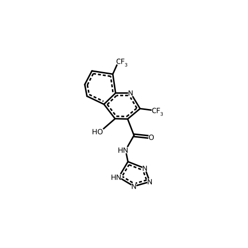 O=C(Nc1nnn[nH]1)c1c(C(F)(F)F)nc2c(C(F)(F)F)cccc2c1O